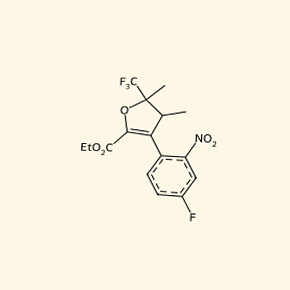 CCOC(=O)C1=C(c2ccc(F)cc2[N+](=O)[O-])C(C)C(C)(C(F)(F)F)O1